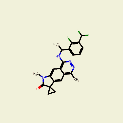 Cc1nnc(NC(C)c2cccc(C(F)F)c2F)c2cc3c(cc12)C1(CC1)C(=O)N3C